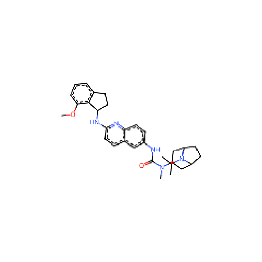 COc1cccc2c1C(Nc1ccc3cc(NC(=O)N(C)C4CC5CCC(C4)N5C(C)C)ccc3n1)CC2